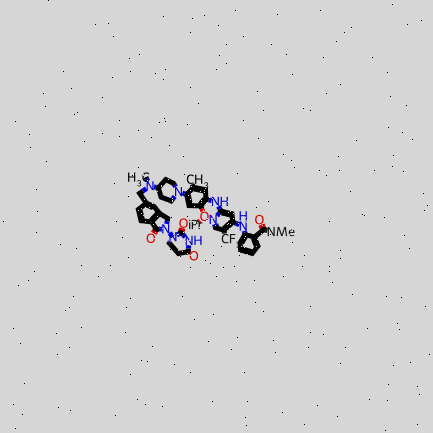 CNC(=O)c1ccccc1Nc1cc(Nc2cc(C)c(N3CCC(N(C)Cc4ccc5c(c4)CN(N4CCC(=O)NC4=O)C5=O)CC3)cc2OC(C)C)ncc1C(F)(F)F